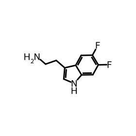 NCCc1c[nH]c2cc(F)c(F)cc12